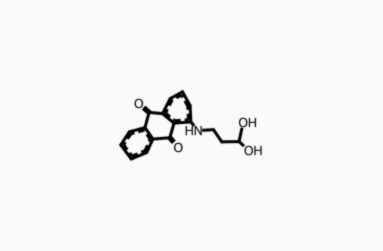 O=C1c2ccccc2C(=O)c2c(NCCC(O)O)cccc21